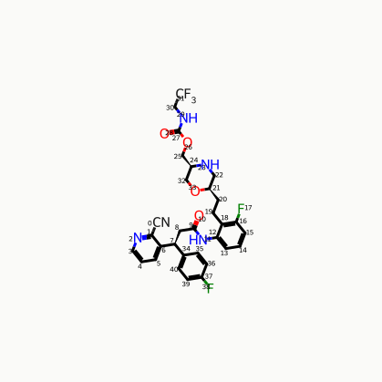 N#Cc1ncccc1[C@@H](CC(=O)Nc1cccc(F)c1CC[C@@H]1CN[C@H](COC(=O)NCC(F)(F)F)CO1)c1ccc(F)cc1